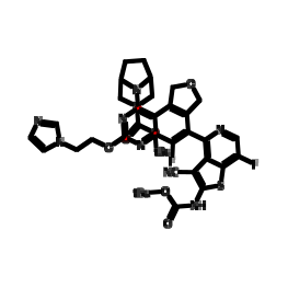 CC(C)(C)OC(=O)Nc1sc2c(F)cnc(-c3c4c(c5c(N6C7CCC6CN(C(=O)OC(C)(C)C)C7)nc(OCCn6ccnc6)nc5c3F)COC4)c2c1C#N